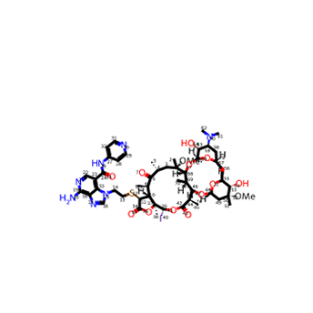 CO[C@]1(C)C[C@@H](C)C(=O)[C@H](C)[C@H]2[C@H](SCCn3cnc4c(N)ncc(C(=O)Nc5ccncc5)c43)C(=O)O[C@]2(C)[C@@H](I)OC(=O)[C@H](C)[C@H]2O[C@H]3C[C@@](C)(OC)[C@@H](O)[C@H](C[C@@H]4C[C@H](N(C)C)[C@@H](O)[C@@H](O4)O[C@@H]1[C@H]2C)O3